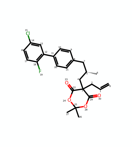 C=CCC1(C[C@@H](C)Cc2ccc(-c3cc(Cl)ccc3F)cc2)C(=O)OC(C)(C)OC1=O